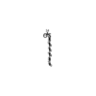 C#CC#CC#CC#CC#CC#CSC(C)=O